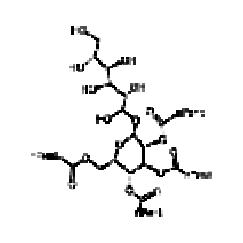 CCCCCC(=O)OC[C@H]1O[C@@H](OC(O)[C@@H](O)[C@@H](O)[C@H](O)[C@H](O)CO)[C@@H](OC(=O)CCCCC)[C@@H](OC(=O)CCCCC)[C@@H]1OC(=O)CCCCC